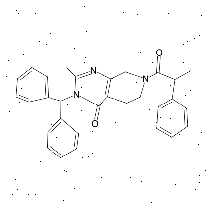 Cc1nc2c(c(=O)n1C(c1ccccc1)c1ccccc1)CCN(C(=O)C(C)c1ccccc1)C2